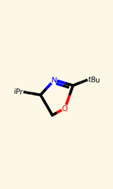 CC(C)C1COC(C(C)(C)C)=N1